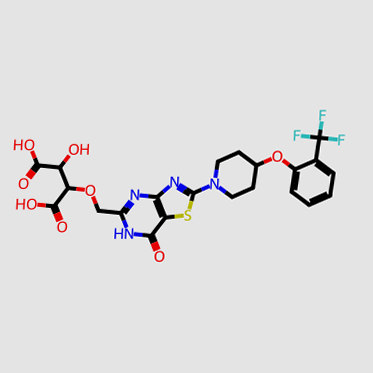 O=C(O)C(O)C(OCc1nc2nc(N3CCC(Oc4ccccc4C(F)(F)F)CC3)sc2c(=O)[nH]1)C(=O)O